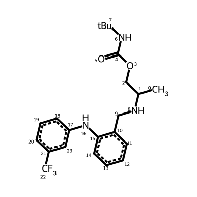 CC(COC(=O)NC(C)(C)C)NCc1ccccc1Nc1cccc(C(F)(F)F)c1